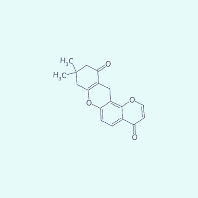 CC1(C)CC(=O)C2=C(C1)Oc1ccc3c(=O)ccoc3c1C2